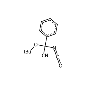 CC(C)(C)OC(C#N)(N=C=O)c1ccccc1